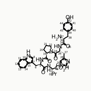 CC(C)[C@H](NC(=O)[C@@H](Cc1c[nH]c2ccccc12)NC(=O)[C@H]1CCCN1C(=O)[C@@H](Cc1c[nH]cn1)NC(=O)[C@H](N)Cc1ccc(O)cc1)C(=O)O